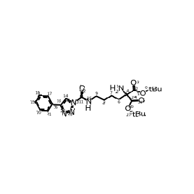 CC(C)(C)OC(=O)C(N)(CCCCNC(=O)n1cc(-c2ccccc2)nn1)C(=O)OC(C)(C)C